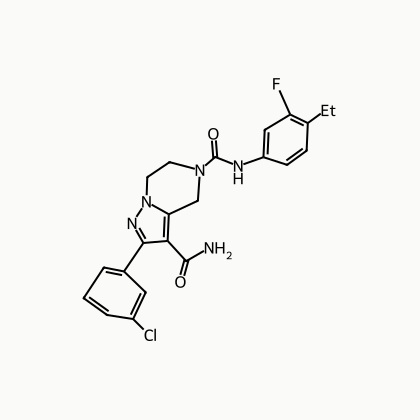 CCc1ccc(NC(=O)N2CCn3nc(-c4cccc(Cl)c4)c(C(N)=O)c3C2)cc1F